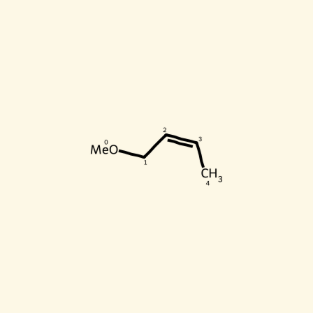 [CH2]OC/C=C\C